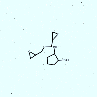 C(OCC1CO1)C1CO1.OC1CCCC1O